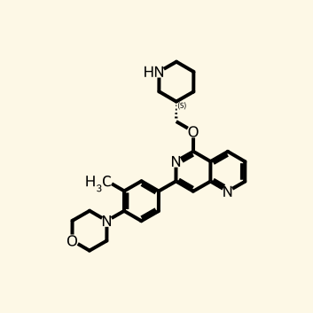 Cc1cc(-c2cc3ncccc3c(OC[C@H]3CCCNC3)n2)ccc1N1CCOCC1